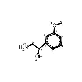 COc1cccc(C(O)CN)c1